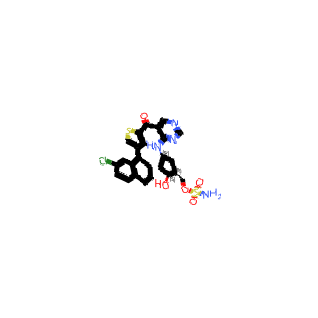 NS(=O)(=O)OC[C@H]1C[C@@H](Nc2ncncc2C(=O)c2cc(C3CCCc4ccc(Cl)cc43)cs2)C[C@@H]1O